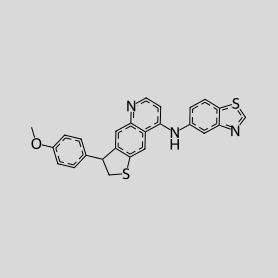 COc1ccc(C2CSc3cc4c(Nc5ccc6scnc6c5)ccnc4cc32)cc1